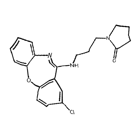 O=C1CCCN1CCCNC1=Nc2ccccc2Oc2ccc(Cl)cc21